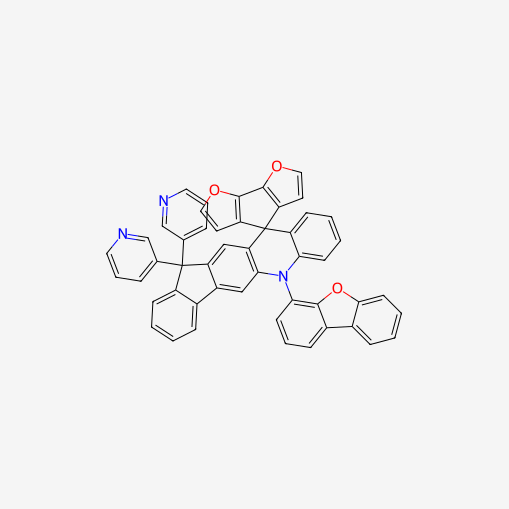 c1cncc(C2(c3cccnc3)c3ccccc3-c3cc4c(cc32)C2(c3ccccc3N4c3cccc4c3oc3ccccc34)c3ccoc3-c3occc32)c1